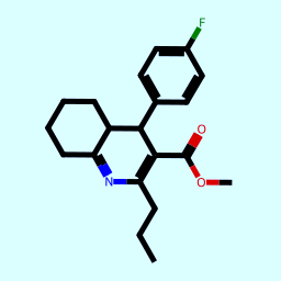 CCCC1=C(C(=O)OC)C(c2ccc(F)cc2)C2CCCCC2=N1